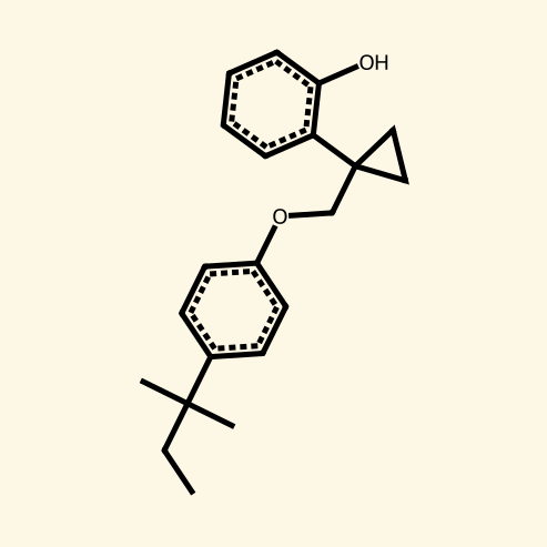 CCC(C)(C)c1ccc(OCC2(c3ccccc3O)CC2)cc1